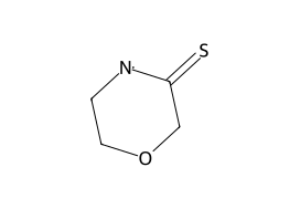 S=C1COCC[N]1